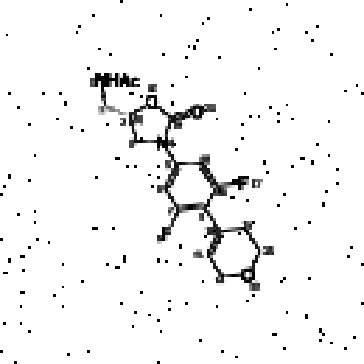 CC(=O)NC[C@H]1CN(c2cc(F)c(C3=CCOCC3)c(F)c2)C(=O)O1